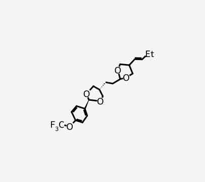 CC/C=C/C1COC(CC[C@H]2CO[C@H](c3ccc(OC(F)(F)F)cc3)OC2)OC1